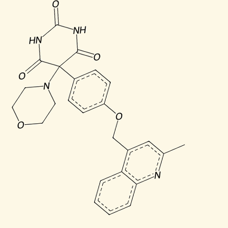 Cc1cc(COc2ccc(C3(N4CCOCC4)C(=O)NC(=O)NC3=O)cc2)c2ccccc2n1